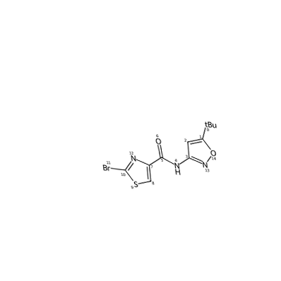 CC(C)(C)c1cc(NC(=O)c2csc(Br)n2)no1